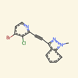 Cn1nc(C#Cc2nccc(Br)c2Cl)c2ccccc21